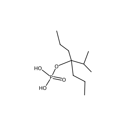 CCCC(CCC)(OP(=O)(O)O)C(C)C